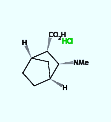 CN[C@@H]1[C@H]2CC[C@H](C2)[C@@H]1C(=O)O.Cl